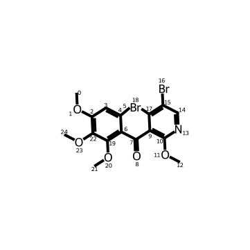 COc1cc(C)c(C(=O)c2c(OC)ncc(Br)c2Br)c(OC)c1OC